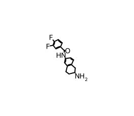 N[C@H]1CCc2cc(NC(=O)c3ccc(F)c(F)c3)ccc2C1